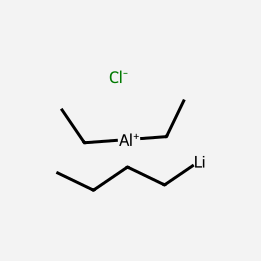 C[CH2][Al+][CH2]C.[Cl-].[Li][CH2]CCC